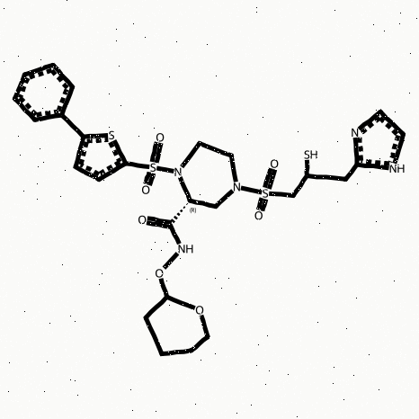 O=C(NOC1CCCCO1)[C@H]1CN(S(=O)(=O)CC(S)Cc2ncc[nH]2)CCN1S(=O)(=O)c1ccc(-c2ccccc2)s1